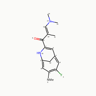 CNC1=C(F)C=C2C=C(C(=O)/C(C)=C/N(C)C)NC(=C1)C2